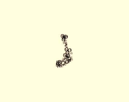 CC(OC(=O)OCCSCCO[N+](=O)[O-])OC(=O)C1=Cc2cc(S(F)(F)(F)(F)F)ccc2OC1C(F)(F)F